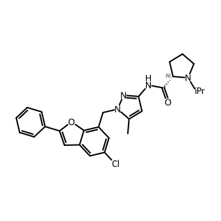 Cc1cc(NC(=O)[C@@H]2CCCN2C(C)C)nn1Cc1cc(Cl)cc2cc(-c3ccccc3)oc12